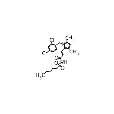 CCCCCS(=O)(=O)NC(=O)C=Cc1c(C)cc(C)n1Cc1ccc(Cl)cc1Cl